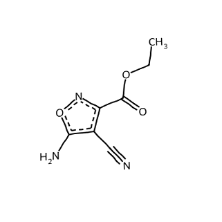 CCOC(=O)c1noc(N)c1C#N